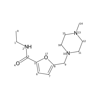 CCNC(=O)c1ccc(CN2CCN(C)CC2)o1